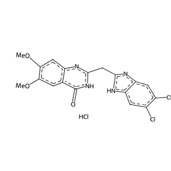 COc1cc2nc(Cc3nc4cc(Cl)c(Cl)cc4[nH]3)[nH]c(=O)c2cc1OC.Cl